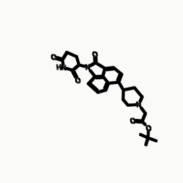 CC(C)(C)OC(=O)CN1CCC(c2ccc3c4c(cccc24)N(C2CCC(=O)NC2=O)C3=O)CC1